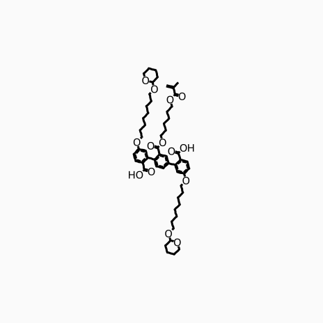 C=C(C)C(=O)OCCCCCCOC(=O)c1cc(-c2cc(OCCCCCCCCOC3CCCCO3)ccc2C(=O)O)ccc1-c1cc(OCCCCCCCCOC2CCCCO2)ccc1C(=O)O